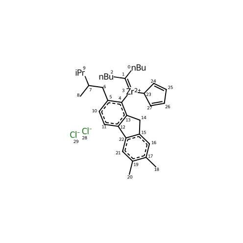 CCCC[C](CCCC)=[Zr+2]([c]1c(CC(C)C(C)C)ccc2c1Cc1cc(C)c(C)cc1-2)[CH]1C=CC=C1.[Cl-].[Cl-]